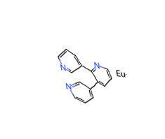 [Eu].c1cncc(-c2cccnc2-c2cccnc2)c1